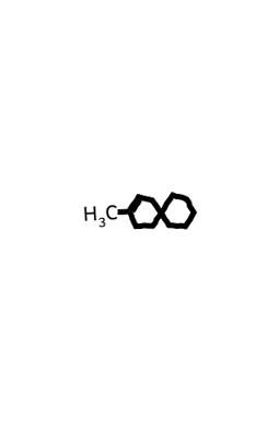 CC1=CCC2(CCCCC2)CC1